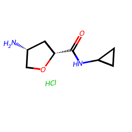 Cl.N[C@H]1CO[C@@H](C(=O)NC2CC2)C1